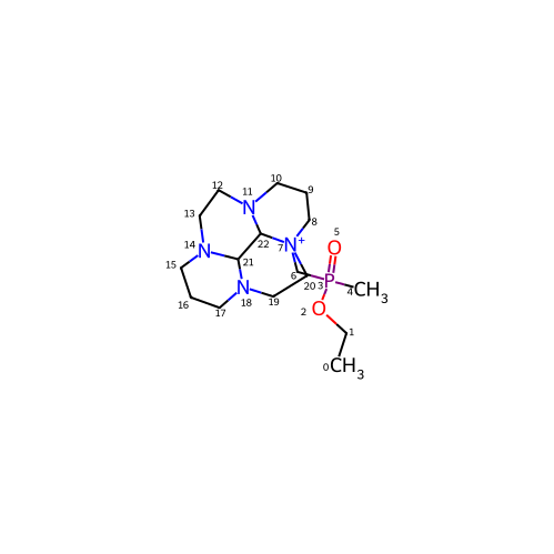 CCOP(C)(=O)C[N+]12CCCN3CCN4CCCN(CC1)C4C32